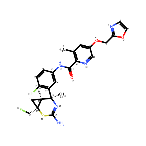 Cc1cc(OCc2ncco2)cnc1C(=O)Nc1ccc(F)c([C@@]2(C)N=C(N)S[C@@]3(CF)C[C@H]32)c1